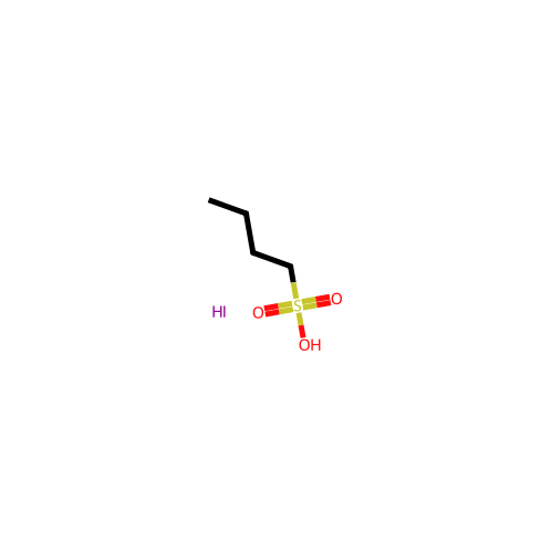 CCCCS(=O)(=O)O.I